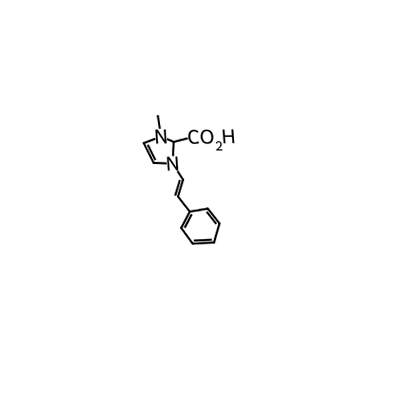 CN1C=CN(C=Cc2ccccc2)C1C(=O)O